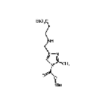 CCOC(=O)CCNCc1cn(C(=O)OC(C)(C)C)c(C)n1